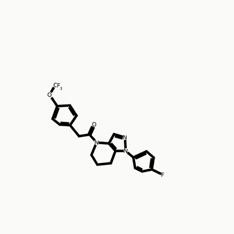 O=C(Cc1ccc(OC(F)(F)F)cc1)N1CCCc2c1cnn2-c1ccc(F)cc1